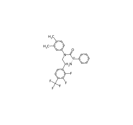 Cc1ccc(N(CCc2ccc(C(F)(F)F)c(F)c2F)C(=O)[C@@H](N)c2ccccc2)cc1C